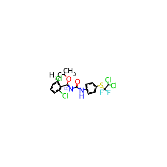 CC(C)O/C(=N\C(=O)Nc1ccc(SC(F)(F)C(Cl)Cl)cc1)c1c(Cl)cccc1Cl